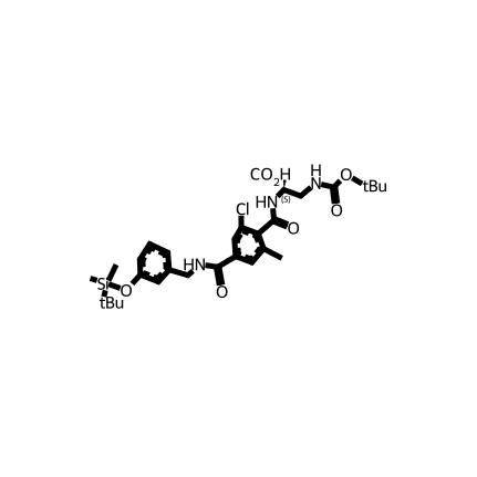 Cc1cc(C(=O)NCc2cccc(O[Si](C)(C)C(C)(C)C)c2)cc(Cl)c1C(=O)N[C@@H](CNC(=O)OC(C)(C)C)C(=O)O